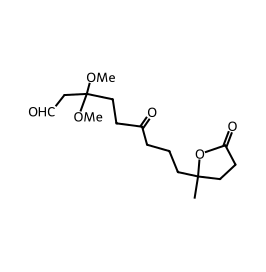 COC(CC=O)(CCC(=O)CCCC1(C)CCC(=O)O1)OC